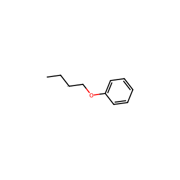 CC[CH]COc1ccccc1